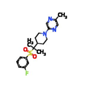 Cc1cnc(N2CCC(C(C)(C)S(=O)(=O)c3cccc(F)c3)CC2)cn1